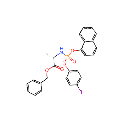 C[C@H](NP(=O)(Oc1ccc(I)cc1)Oc1cccc2ccccc12)C(=O)OCc1ccccc1